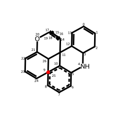 C1=CCC2Nc3ccccc3C3(C2=C1)c1ccccc1OC1=CC=CCC13